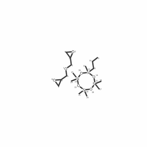 C(OCC1CO1)C1CO1.CCC[Si]1(C)O[Si](C)(C)O[Si](C)(C)O[Si](C)(C)O1